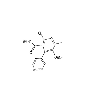 COC(=O)c1c(Cl)nc(C)c(OC)c1-c1ccncc1